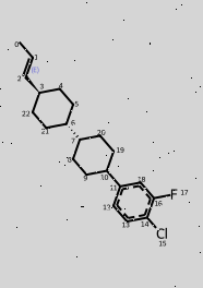 C/C=C/[C@H]1CC[C@H](C2CCC(c3ccc(Cl)c(F)c3)CC2)CC1